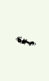 O=C(NCCNC(=O)C1CC=C(Cl)S1)c1c(F)cc(O[C@H]2CC[C@@H](C(=O)O)CC2)cc1F